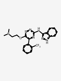 CN(C)CCOc1nnc(Nc2n[nH]c3ccccc23)nc1-c1ccccc1C(F)(F)F